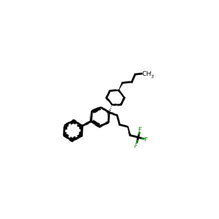 CCCC[C@H]1CC[C@H](C2(CCCCC(F)(F)F)C=CC(c3ccccc3)=CC2)CC1